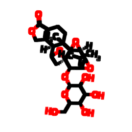 CC(C)[C@]12O[C@H]1[C@@H]1O[C@@]13[C@@]1(C)CCC4=C(COC4=O)[C@@H]1C1C[C@@]3(O1)[C@@H]2O[C@@H]1OC(CO)[C@H](O)C(O)C1O